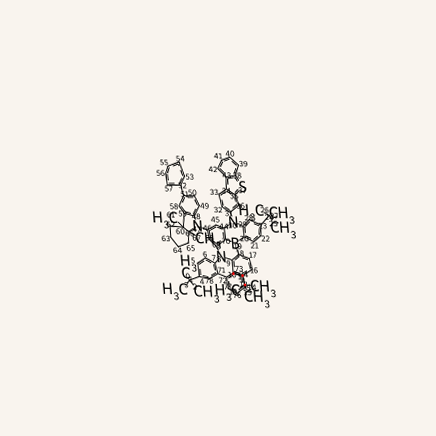 CC(C)(C)c1ccc(N2c3cc(C(C)(C)C)ccc3B3c4ccc(C(C)(C)C)cc4N(c4ccc5c(c4)sc4ccccc45)c4cc(N5c6ccc(-c7ccccc7)cc6C6(C)CCCCC56C)cc2c43)c(-c2ccccc2)c1